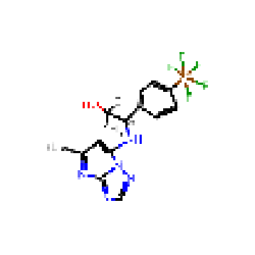 CC(C)(C)c1cc(N[C@H](c2ccc(S(F)(F)(F)(F)F)cc2)C(C)(C)O)n2ncnc2n1